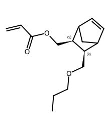 C=CC(=O)OC[C@H]1C2C=CC(C2)[C@H]1COCCC